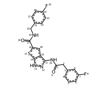 O=C(Cc1cccc(F)c1)Nc1n[nH]c2sc(C(=O)NCc3ccc(F)cc3)cc12